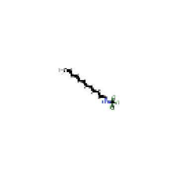 CCCCCCCCCCCCNC(Cl)(Cl)Cl